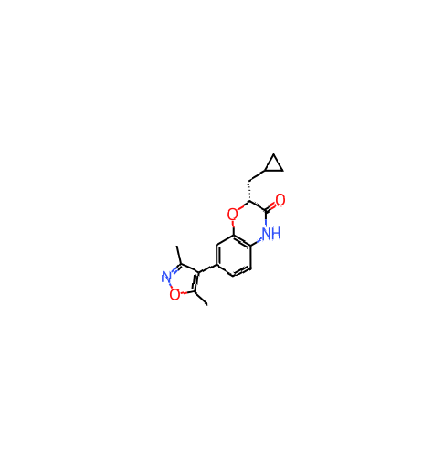 Cc1noc(C)c1-c1ccc2c(c1)O[C@H](CC1CC1)C(=O)N2